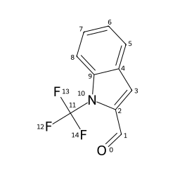 O=Cc1cc2ccccc2n1C(F)(F)F